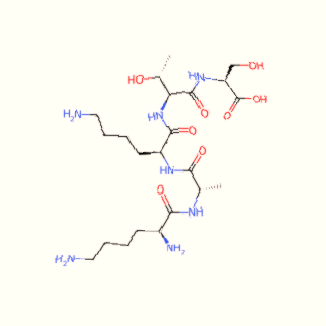 C[C@H](NC(=O)[C@@H](N)CCCCN)C(=O)N[C@@H](CCCCN)C(=O)N[C@H](C(=O)N[C@@H](CO)C(=O)O)[C@@H](C)O